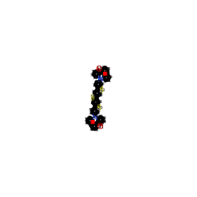 c1ccc(N(c2ccc3c(c2)sc2cc4c(cc23)sc2cc3c(cc24)sc2cc(N(c4ccccc4)c4cccc5oc6ccccc6c45)ccc23)c2cccc3oc4ccccc4c23)cc1